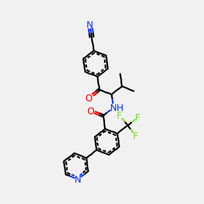 CC(C)C(NC(=O)c1cc(-c2cccnc2)ccc1C(F)(F)F)C(=O)c1ccc(C#N)cc1